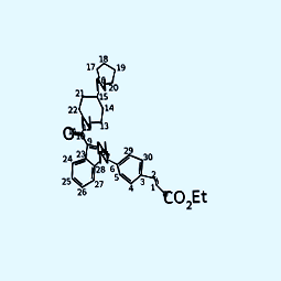 CCOC(=O)/C=C/c1ccc(-n2nc(C(=O)N3CCC(N4CCCC4)CC3)c3ccccc32)cc1